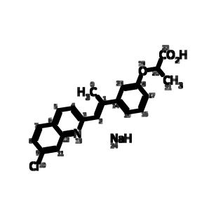 C/C(=C\c1ccc2ccc(Cl)cc2n1)c1cccc(OC(C)C(=O)O)c1.[NaH]